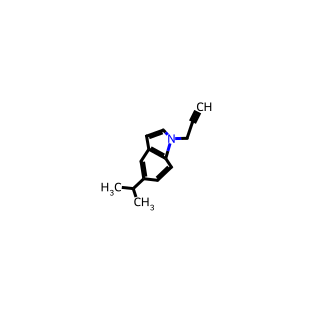 C#CCn1ccc2cc(C(C)C)ccc21